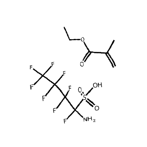 C=C(C)C(=O)OCC.NC(F)(C(F)(F)C(F)(F)C(F)(F)F)S(=O)(=O)O